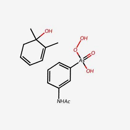 CC(=O)Nc1cccc([As](=O)(O)OO)c1.CC1=CC=CCC1(C)O